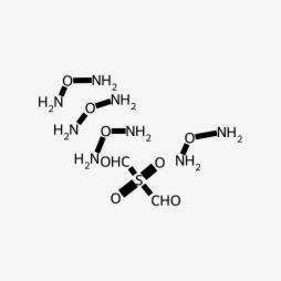 NON.NON.NON.NON.O=CS(=O)(=O)C=O